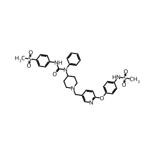 CS(=O)(=O)Nc1ccc(Oc2ccc(CN3CCC(N(C(=O)Nc4ccc(S(C)(=O)=O)cc4)c4ccccc4)CC3)cn2)cc1